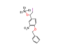 CC[Si](CC)(CC)OC(CI)c1ccc(OCc2ccccc2)c([N+](=O)[O-])c1